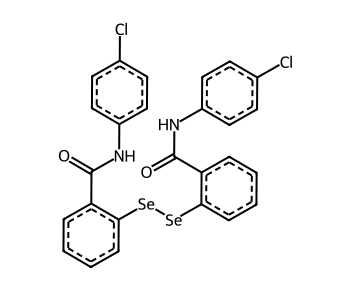 O=C(Nc1ccc(Cl)cc1)c1ccccc1[Se][Se]c1ccccc1C(=O)Nc1ccc(Cl)cc1